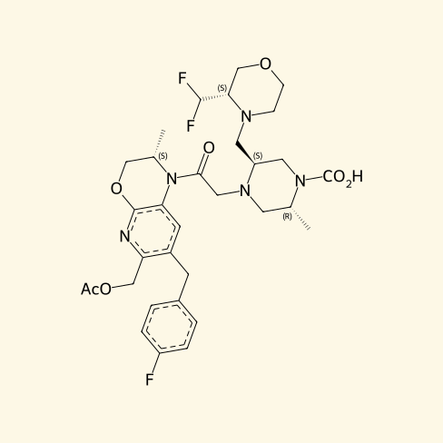 CC(=O)OCc1nc2c(cc1Cc1ccc(F)cc1)N(C(=O)CN1C[C@@H](C)N(C(=O)O)C[C@@H]1CN1CCOC[C@H]1C(F)F)[C@@H](C)CO2